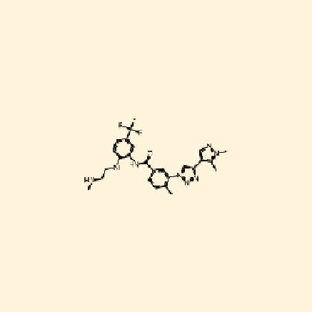 CNCCNc1ccc(C(F)(F)F)cc1NC(=O)c1ccc(C)c(-n2cc(-c3cnn(C)c3C)nn2)c1